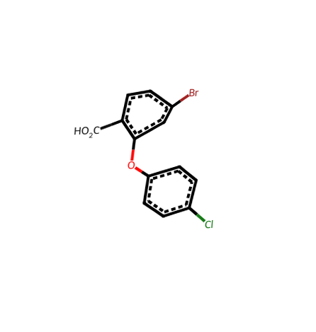 O=C(O)c1ccc(Br)cc1Oc1ccc(Cl)cc1